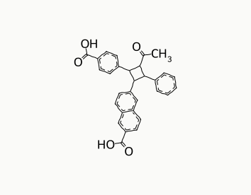 CC(=O)C1C(c2ccccc2)C(c2ccc3cc(C(=O)O)ccc3c2)C1c1ccc(C(=O)O)cc1